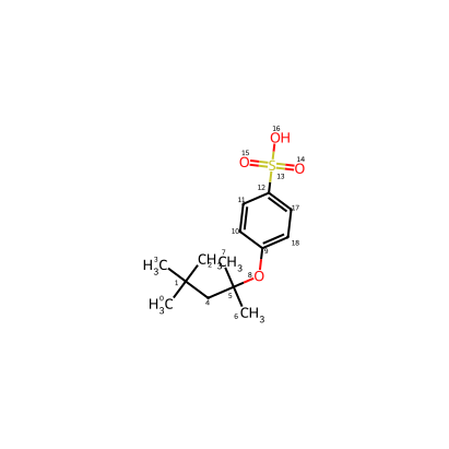 CC(C)(C)CC(C)(C)Oc1ccc(S(=O)(=O)O)cc1